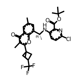 Cc1cc([C@@H](C)Nc2ccc(Cl)nc2C(=O)OC(C)(C)C)c2oc(C34CC(C(F)(F)F)(C3)C4)c(C)c(=O)c2c1